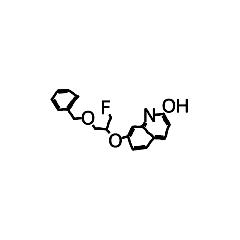 Oc1ccc2ccc(OC(CF)COCc3ccccc3)cc2n1